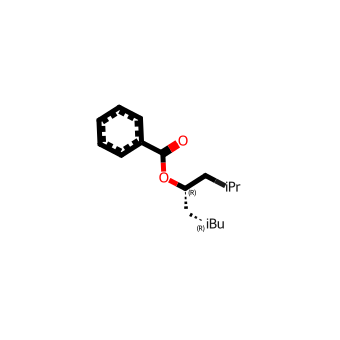 CC[C@@H](C)C[C@@H](CC(C)C)OC(=O)c1ccccc1